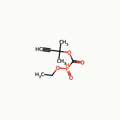 C#CC(C)(C)OC(=O)[PH](=O)OCC